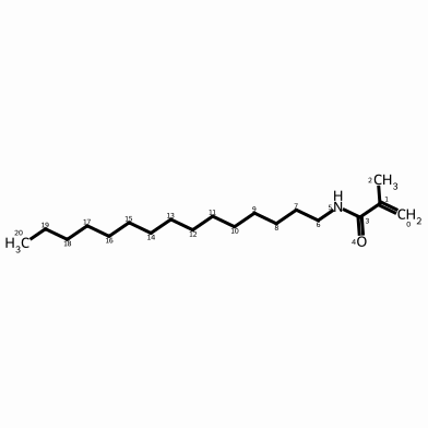 C=C(C)C(=O)NCCCCCCCCCCCCCCC